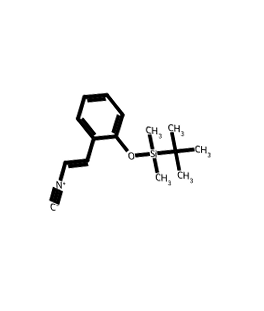 [C-]#[N+]C=Cc1ccccc1O[Si](C)(C)C(C)(C)C